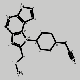 COCc1nc2cnc3[nH]ccc3c2n1C1CCC(CC#N)CC1